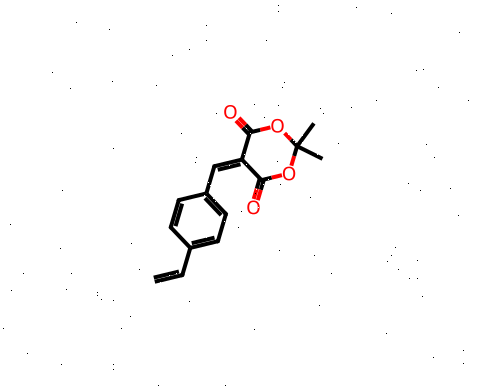 C=Cc1ccc(C=C2C(=O)OC(C)(C)OC2=O)cc1